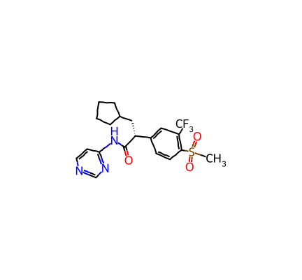 CS(=O)(=O)c1ccc([C@@H](CC2CCCC2)C(=O)Nc2ccncn2)cc1C(F)(F)F